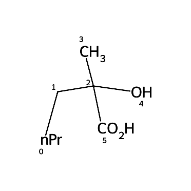 CCCCC(C)(O)C(=O)O